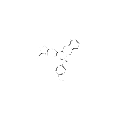 COc1ccc(S(=O)(=O)N2Cc3ccccc3CC2C(=O)Nc2nc(=S)ss2)cc1